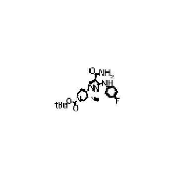 C#C[C@@H]1CN(C(=O)OC(C)(C)C)CC[C@@H]1n1cc(C(N)=O)c(Nc2ccc(F)cc2)n1